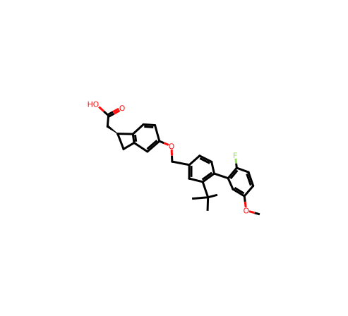 COc1ccc(F)c(-c2ccc(COc3ccc4c(c3)C[C@H]4CC(=O)O)cc2C(C)(C)C)c1